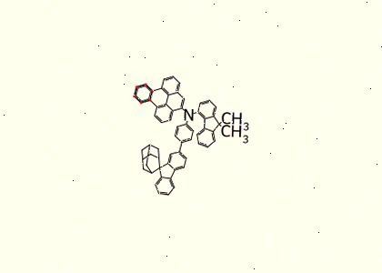 CC1(C)c2ccccc2-c2c(N(c3ccc(-c4ccc5c(c4)C4(c6ccccc6-5)C5CC6CC(C5)CC4C6)cc3)c3cc4cccc(-c5ccccc5)c4c4c(-c5ccccc5)cccc34)cccc21